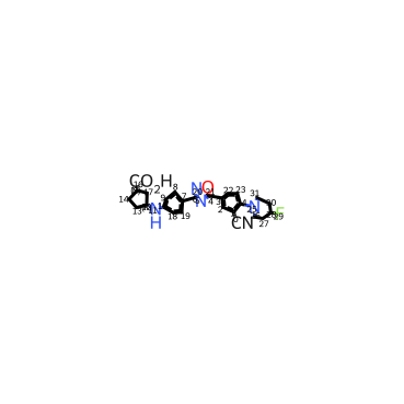 N#Cc1cc(-c2nc(-c3ccc(N[C@@H]4CC[C@H](C(=O)O)C4)cc3)no2)ccc1N1CCC(F)CC1